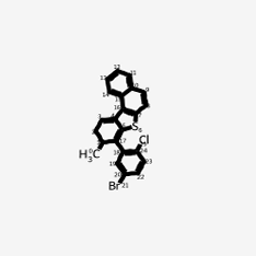 CC1CC=c2c(sc3ccc4ccccc4c23)=C1c1cc(Br)ccc1Cl